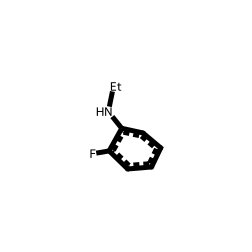 CCNc1ccccc1F